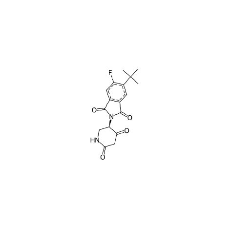 CC(C)(C)c1cc2c(cc1F)C(=O)N([C@@H]1CNC(=O)CC1=O)C2=O